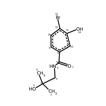 CC(C)(O)CNC(=O)c1ccc(Br)c(O)c1